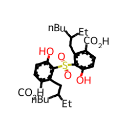 CCCCC(CC)Cc1c(C(=O)O)ccc(O)c1S(=O)(=O)c1c(O)ccc(C(=O)O)c1CC(CC)CCCC